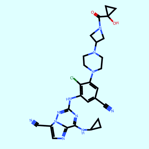 N#Cc1cc(Nc2nc(NC3CC3)c3ncc(C#N)n3n2)c(Cl)c(N2CCN(C3CN(C(=O)C4(O)CC4)C3)CC2)c1